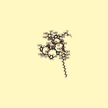 CCCCCCCCCCCC(=O)NC1[C@H](Oc2c3cc4cc2Oc2ccc(cc2O)[C@@H](O)[C@@H]2NC(=O)[C@H](NC(=O)C4NC(=O)[C@@H]4NC(=O)C(Cc5ccc(cc5)O3)NC(=O)[C@H](NC)c3ccc(O)c(c3)Oc3cc(O)c(O)c4c3)c3ccc(O)c(c3)-c3c(OC4O[C@H](CC)C(O)[C@H](O)[C@@H]4O)cc(O)cc3C(C(=O)NCCCN(C)P)NC2=O)O[C@H](C(=O)O)C(O)[C@@H]1O